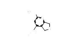 COc1cc(C)c2c(n1)CNC2.Cl.Cl